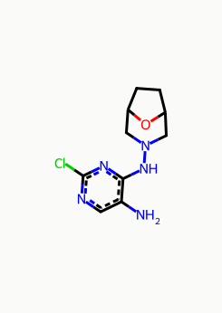 Nc1cnc(Cl)nc1NN1CC2CCC(C1)O2